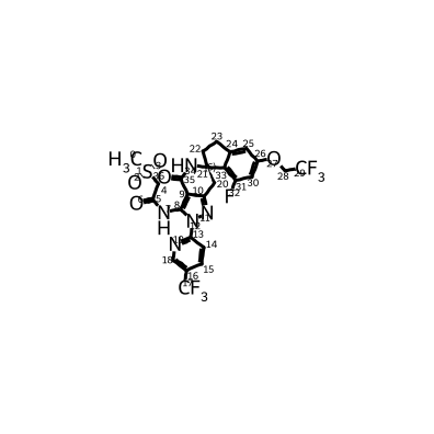 CS(=O)(=O)CC(=O)Nc1c2c(nn1-c1ccc(C(F)(F)F)cn1)C[C@]1(CCc3cc(OCC(F)(F)F)cc(F)c31)NC2=O